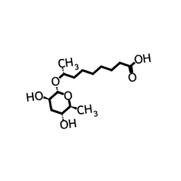 C[C@H](CCCCCCC(=O)O)O[C@@H]1O[C@@H](C)[C@H](O)C[C@H]1O